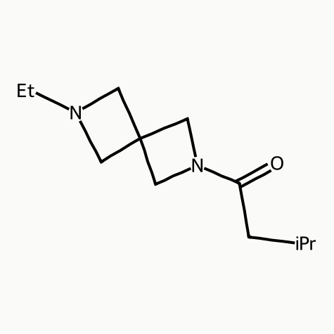 CCN1CC2(C1)CN(C(=O)CC(C)C)C2